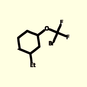 CCC1[CH]CCC(OC(F)(F)Br)C1